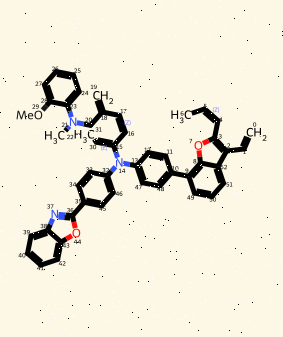 C=Cc1c(/C=C\C)oc2c(-c3ccc(N(C(/C=C\C(=C)CN(C)c4ccccc4OC)=C/C)c4ccc(-c5nc6ccccc6o5)cc4)cc3)cccc12